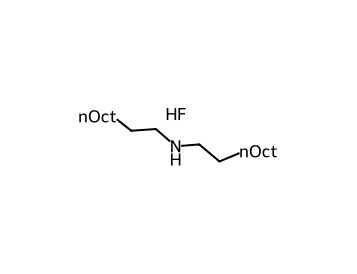 CCCCCCCCCCNCCCCCCCCCC.F